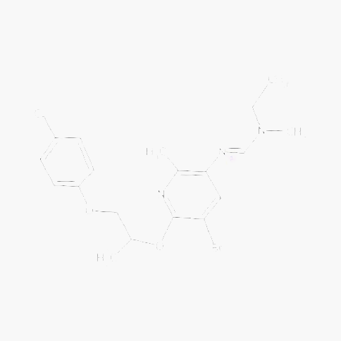 CCN(C)/C=N/c1cc(Br)c(OC(C)COc2ccc(Cl)cc2)nc1C